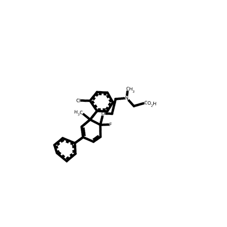 CN(CCOC1(F)C=CC(c2ccccc2)=CC1(C)c1ccccc1Cl)CC(=O)O